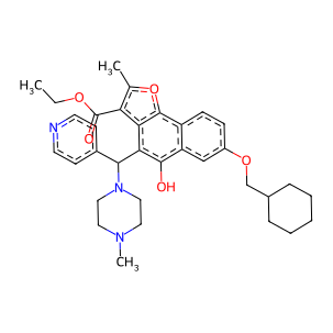 CCOC(=O)c1c(C)oc2c1c(C(c1ccncc1)N1CCN(C)CC1)c(O)c1cc(OCC3CCCCC3)ccc12